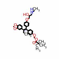 CCNCC(O)COc1ccc(/C(=C(/CC)c2ccc3c(c2)OCO3)c2ccc(OCOC(=O)C(C)(C)C)cc2)cc1